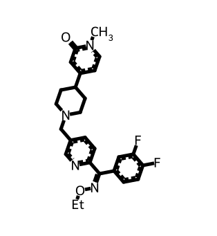 CCON=C(c1ccc(F)c(F)c1)c1ccc(CN2CCC(c3ccn(C)c(=O)c3)CC2)cn1